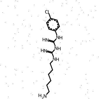 N=C(NCCCCCCN)NC(=N)Nc1ccc(Cl)cc1